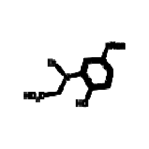 CCCCCCCCCc1ccc(O)c(N(CC)CC(=O)O)c1